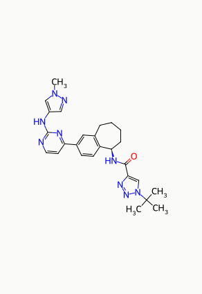 Cn1cc(Nc2nccc(-c3ccc4c(c3)CCCC[C@H]4NC(=O)c3cn(C(C)(C)C)nn3)n2)cn1